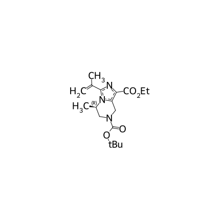 C=C(C)c1nc(C(=O)OCC)c2n1[C@H](C)CN(C(=O)OC(C)(C)C)C2